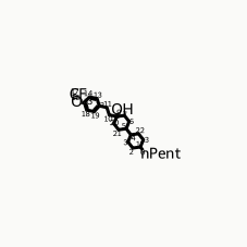 CCCCCC1CCC(C2CCC(O)(CCc3ccc(OC(F)(F)F)cc3)CC2)CC1